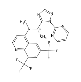 C[C@@H](c1ncnn1-c1ncccn1)N(C)c1ccnc2c(C(F)(F)F)cc(C(F)(F)F)cc12